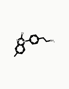 CCc1nc2cc(C)ccc2n1-c1ccc(CCN)cc1